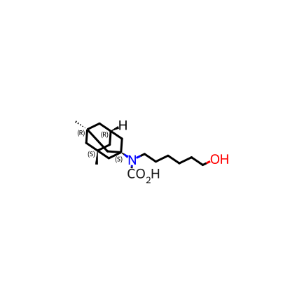 C[C@]12C[C@@H]3C[C@](C)(C1)C[C@](N(CCCCCCO)C(=O)O)(C3)C2